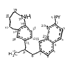 CC(C)c1ccc2ccc(CC(C)c3ccc4c(c3)CCCN4)cc2n1